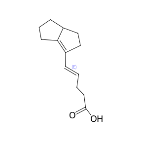 O=C(O)CC/C=C/C1=C2CCCC2CC1